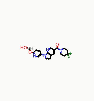 O=C(c1cnc2c(ccn2-c2ccc(OBO)nc2)c1)N1CCC(F)(F)CC1